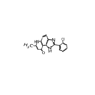 Cc1cc(=O)c2c(ccc3nc(-c4ccccc4Cl)[nH]c32)[nH]1